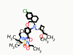 C=CC[C@H](CC)[C@@H](CC)[SH](=O)(NC(=O)CC)NC(=O)c1ccc2c(c1)N(C[C@@H]1CC[C@H]1[C@H](C=C)OC)C[C@@]1(CCCc3cc(Cl)ccc31)CO2